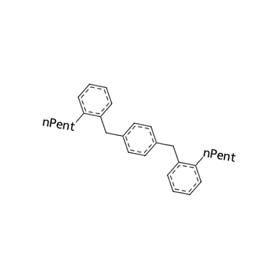 CCCCCc1ccccc1Cc1ccc(Cc2ccccc2CCCCC)cc1